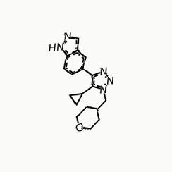 c1cc2[nH]ncc2cc1-c1nnn(CC2CCOCC2)c1C1CC1